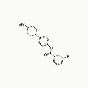 CCCC1CCC(c2ccc(OC(=O)c3cccc(F)c3)cc2)CC1